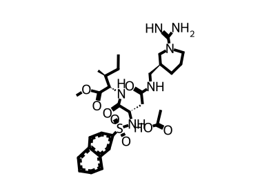 CC(=O)O.CC[C@H](C)[C@H](NC(=O)[C@H](CC(=O)NC[C@@H]1CCCN(C(=N)N)C1)NS(=O)(=O)c1ccc2ccccc2c1)C(=O)OC